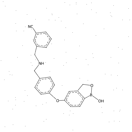 N#Cc1cccc(CNCc2ccc(Oc3ccc4c(c3)COB4O)cc2)c1